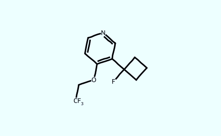 FC(F)(F)COc1ccncc1C1(F)CCC1